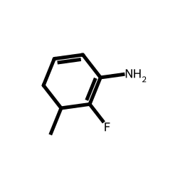 CC1CC=CC(N)=C1F